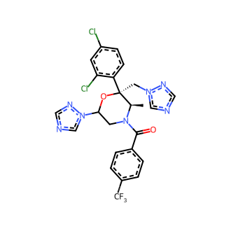 C[C@H]1N(C(=O)c2ccc(C(F)(F)F)cc2)CC(n2cncn2)O[C@@]1(Cn1cncn1)c1ccc(Cl)cc1Cl